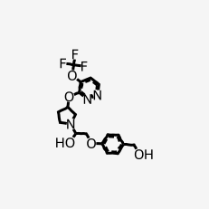 OCc1ccc(OCC(O)N2CCC(Oc3nnccc3OC(F)(F)F)C2)cc1